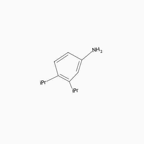 CC(C)c1ccc(N)cc1C(C)C